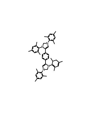 CC1=CC(C)=C(N2CN(c3c(C)cc(C)cc3C)C=C2c2ccc(C3=CN(c4c(C)cc(C)cc4C)CN3c3c(C)cc(C)cc3C)cc2)C(C)C1